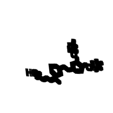 C/C(=C/C=C/C(C)(C)O)c1cccc(CCc2ccc(CO[Si](C)(C)C(C)(C)C)c(CO[Si](C)(C)C(C)(C)C)c2)c1